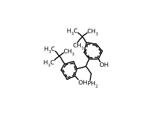 CC(C)(C)c1ccc(O)c(C(CP)c2cc(C(C)(C)C)ccc2O)c1